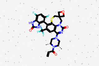 C=CC(=O)N1[C@H](C)CN(c2nc(=O)n3c4c(c(-c5c(F)cc(F)c6[nH]c(=O)[nH]c56)c(C(F)(F)F)cc24)SCC2(COC2)C3)C[C@@H]1C